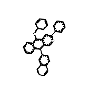 C1=CCC(Oc2c3ccccc3c(-c3ccc4c(c3)CCC=C4)c3cnc(-c4ccccc4)cc23)C=C1